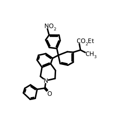 CCOC(=O)C(C)C1=CC=CC(c2ccc([N+](=O)[O-])cc2)(c2cccc3c2CCN(C(=O)c2ccccc2)C3)C1